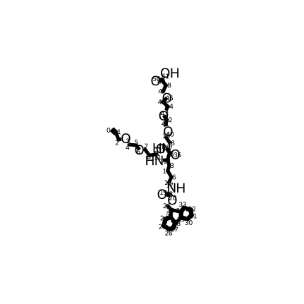 C#CCOCCOCCC(=O)NC(CCCCNC(=O)OCC1c2ccccc2-c2ccccc21)C(=O)NCCOCCOCCOCCC(=O)O